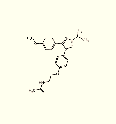 COc1ccc(-c2nc(C(C)C)cn2-c2ccc(OCCNC(C)=O)cc2)cc1